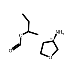 CCC(C)OC=O.N[C@@H]1CCOC1